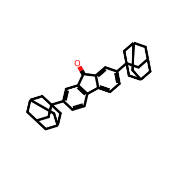 O=C1c2cc(C34CC5CC(CC(C5)C3)C4)ccc2-c2ccc(C34CC5CC(CC(C5)C3)C4)cc21